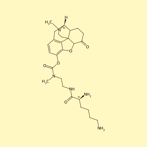 CN(CCNC(=O)[C@@H](N)CCCCN)C(=O)Oc1ccc2c3c1OC1C(=O)CCC4[C@@H](C2)N(C)CCC314